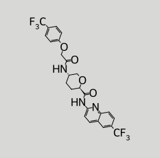 O=C(COc1ccc(C(F)(F)F)cc1)N[C@H]1CC[C@H](C(=O)Nc2ccc3cc(C(F)(F)F)ccc3n2)OC1